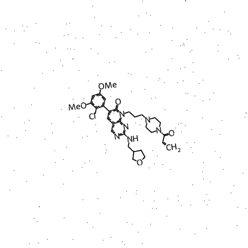 C=CC(=O)N1CCN(CCCn2c(=O)c(-c3cc(OC)cc(OC)c3Cl)cc3cnc(NCC4CCOC4)nc32)CC1